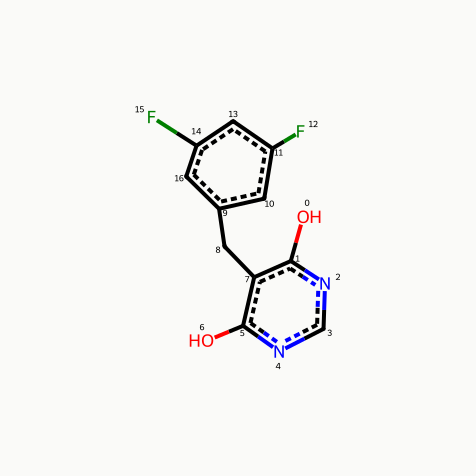 Oc1ncnc(O)c1Cc1cc(F)cc(F)c1